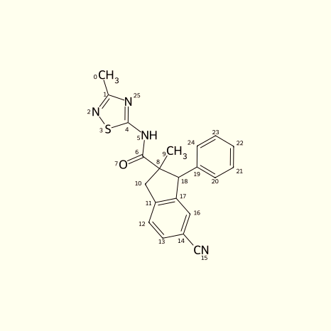 Cc1nsc(NC(=O)C2(C)Cc3ccc(C#N)cc3C2c2ccccc2)n1